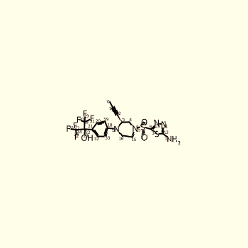 CC#C[C@H]1CN(S(=O)(=O)c2nnc(N)s2)CCN1c1ccc(C(O)(C(F)(F)F)C(F)(F)F)cc1